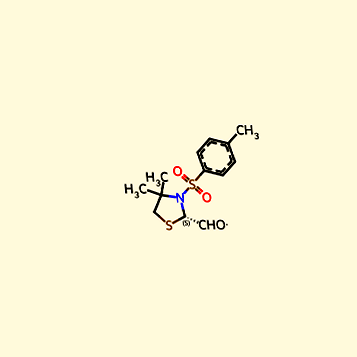 Cc1ccc(S(=O)(=O)N2[C@H]([C]=O)SCC2(C)C)cc1